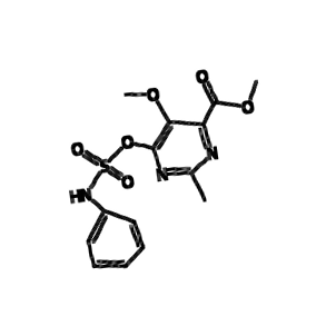 COC(=O)c1nc(C)nc(OS(=O)(=O)Nc2ccccc2)c1OC